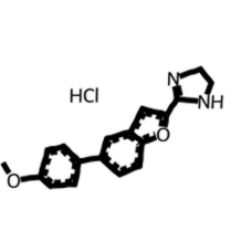 COc1ccc(-c2ccc3oc(C4=NCCN4)cc3c2)cc1.Cl